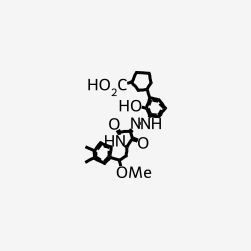 COC(CC1NC(=O)C(=NNc2cccc(C3CCCC(C(=O)O)C3)c2O)C1=O)c1ccc(C)c(C)c1